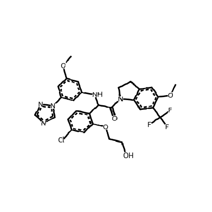 COc1cc(NC(C(=O)N2CCc3cc(OC)c(C(F)(F)F)cc32)c2ccc(Cl)cc2OCCO)cc(-n2cncn2)c1